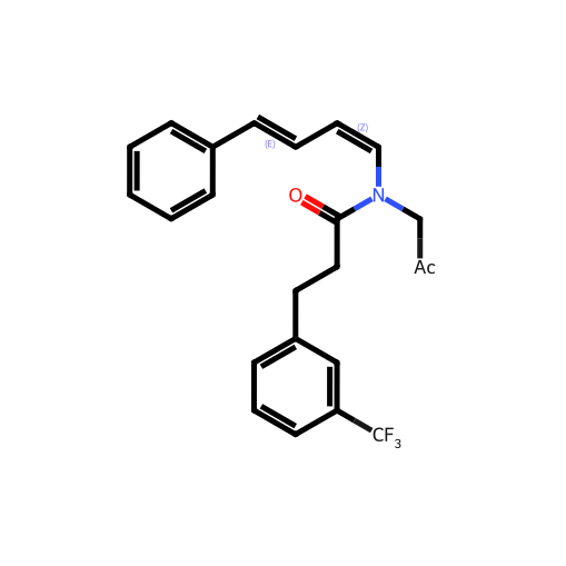 CC(=O)CN(/C=C\C=C\c1ccccc1)C(=O)CCc1cccc(C(F)(F)F)c1